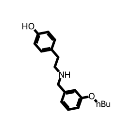 CCCCOc1cccc(CNCCc2ccc(O)cc2)c1